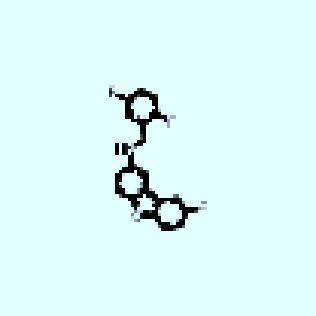 Fc1ccc(F)c(CNc2ccc3oc4ccc(F)cc4c3c2)c1